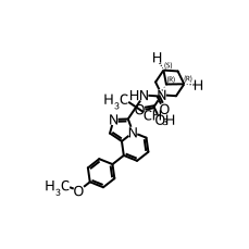 COc1ccc(-c2cccn3c(C(C)(C)NC(=O)[C@@H]4[C@@H]5C[C@H]4CN(C(=O)O)C5)ncc23)cc1